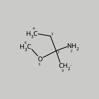 [CH2]C(N)(CC)OC